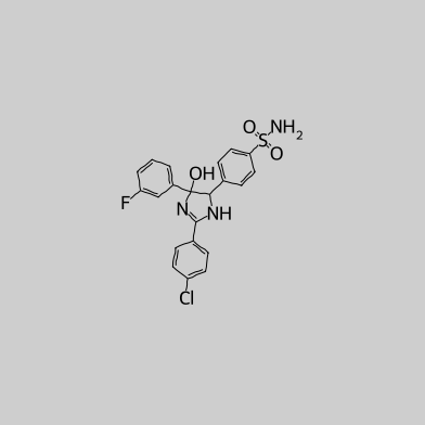 NS(=O)(=O)c1ccc(C2NC(c3ccc(Cl)cc3)=NC2(O)c2cccc(F)c2)cc1